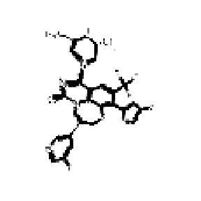 C[C@@H]1CN(c2nc(=O)n3c4c(c(-c5cc(Cl)cs5)c(C(F)(F)F)cc24)SC[C@@H](c2cncc(F)c2)C3)C[C@H](C)N1